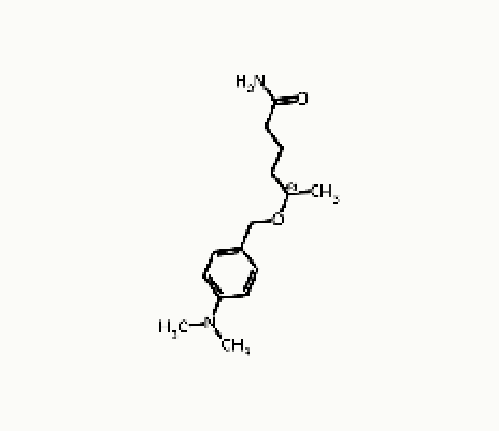 C[C@H](CCCC(N)=O)OCc1ccc(N(C)C)cc1